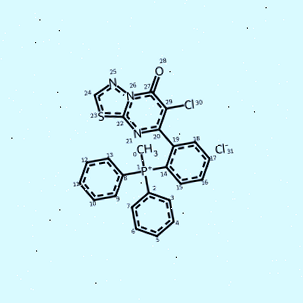 C[P+](c1ccccc1)(c1ccccc1)c1ccccc1-c1nc2scnn2c(=O)c1Cl.[Cl-]